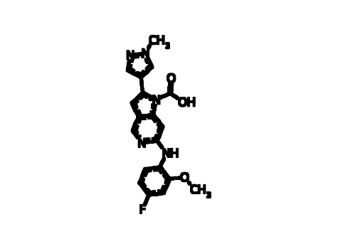 COc1cc(F)ccc1Nc1cc2c(cn1)cc(-c1cnn(C)c1)n2C(=O)O